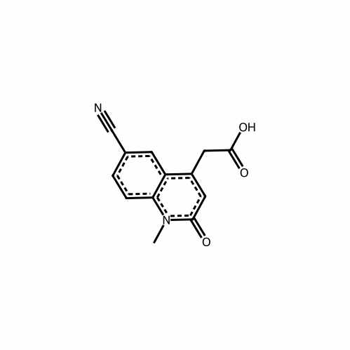 Cn1c(=O)cc(CC(=O)O)c2cc(C#N)ccc21